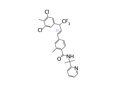 Cc1cc(/C=C/C(c2cc(Cl)c(C)c(Cl)c2)C(F)(F)F)ccc1C(=O)NC(C)(C)c1ccccn1